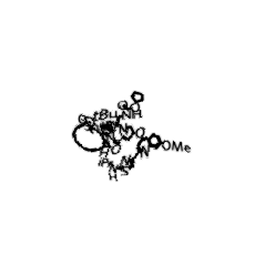 COc1ccc2c(O[C@@H]3C[C@@H](C(=O)N[C@]45C[C@H]4/C=C\CCCCCS(=O)(=O)NC5=O)N(C(=O)[C@@H](NC(=O)OC4CCCC4)C(C)(C)C)C3)cc(-c3csc(NC(C)C)n3)nc2c1